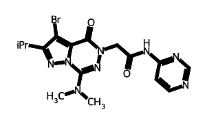 CC(C)c1nn2c(N(C)C)nn(CC(=O)Nc3ccncn3)c(=O)c2c1Br